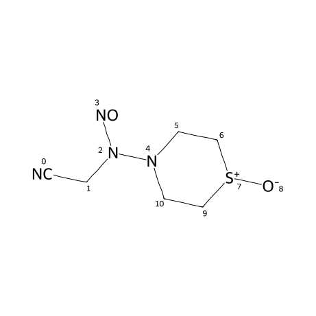 N#CCN(N=O)N1CC[S+]([O-])CC1